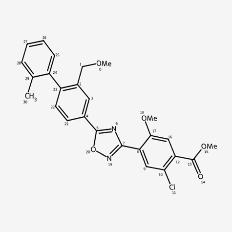 COCc1cc(-c2nc(-c3cc(Cl)c(C(=O)OC)cc3OC)no2)ccc1-c1ccccc1C